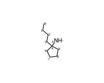 CCCCC1([NH])CCCC1